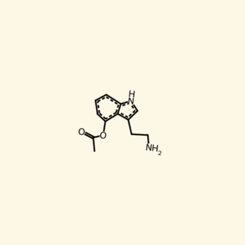 CC(=O)Oc1cccc2[nH]cc(CCN)c12